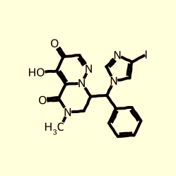 CN1CC(C(c2ccccc2)n2cnc(I)c2)n2ncc(=O)c(O)c2C1=O